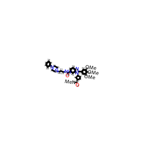 CNC(=O)[C@@H]1CC[C@@H](n2c(-c3cc(OC)c(OC)c(OC)c3)nc3ccc(C(=O)NCCCN4CCN(c5ccccc5)CC4)cc32)C1